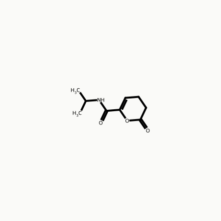 CC(C)NC(=O)C1=CCCC(=O)O1